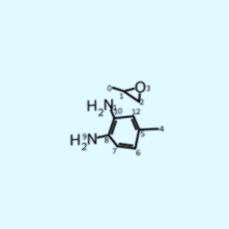 CC1CO1.Cc1ccc(N)c(N)c1